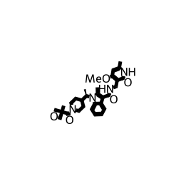 COc1cc(C)[nH]c(=O)c1CNC(=O)c1c(C)n([C@H](C)C2CCN(C(=O)C3(C)COC3)CC2)c2ccccc12